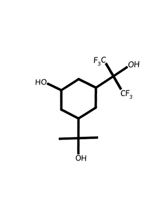 CC(C)(O)C1CC(O)CC(C(O)(C(F)(F)F)C(F)(F)F)C1